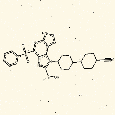 C[C@@H](O)c1nc2c(S(=O)(=O)c3ccccc3)nc3[nH]ccc3c2n1C1CCC(N2CCC(C#N)CC2)CC1